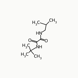 CC(C)CNC(=O)C(=O)NC(C)(C)C